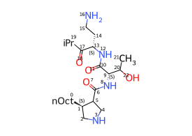 CCCCCCCC[C@@H]1CNCC1C(=O)N[C@H](C(=O)N[C@@H](CCN)C(=O)C(C)C)C(C)O